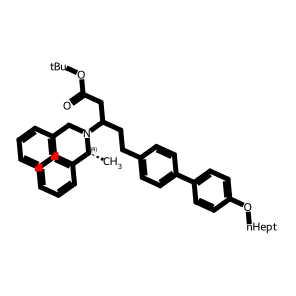 CCCCCCCOc1ccc(-c2ccc(CCC(CC(=O)OC(C)(C)C)N(Cc3ccccc3)[C@H](C)c3ccccc3)cc2)cc1